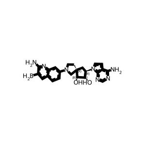 Bc1cc2ccc(N3CC[C@@]4(C[C@@H](n5ccc6c(N)ncnc65)[C@H](O)[C@@H]4O)C3)cc2nc1N